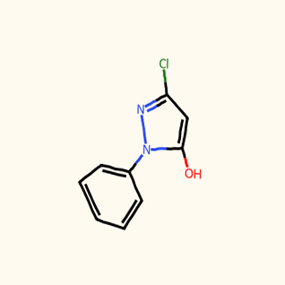 Oc1cc(Cl)nn1-c1ccccc1